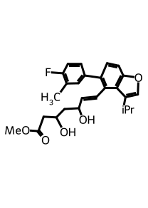 COC(=O)CC(O)CC(O)C=Cc1c(-c2ccc(F)c(C)c2)ccc2occ(C(C)C)c12